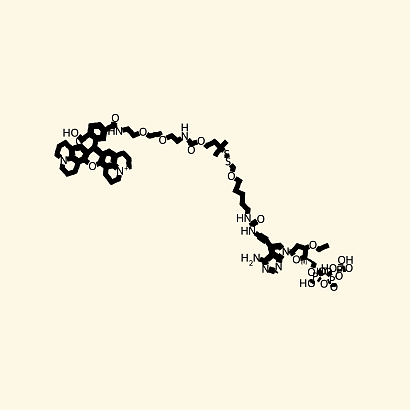 CCOC1C[C@H](n2cc(C#CNC(=O)NCCCCCOCSSC(C)(C)CCOC(=O)NCCOCCOCCNC(=O)c3ccc(C(=O)O)c(C4=c5cc6c7c(c5Oc5c4cc4c8c5CCCN8CCC4)CCC[N+]=7CCC6)c3)c3c(N)ncnc32)O[C@@H]1COP(=O)(O)OP(=O)(O)OP(=O)(O)O